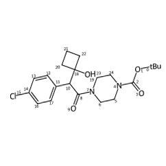 CC(C)(C)OC(=O)N1CCN(C(=O)C(c2ccc(Cl)cc2)C2(O)CCC2)CC1